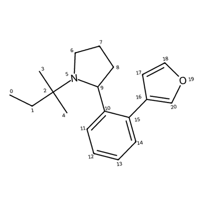 CCC(C)(C)N1CCCC1c1ccccc1-c1ccoc1